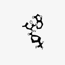 CC(C)CC(NC(=O)c1ccc(C(F)(F)F)cc1)C(=O)N1CCCC2OCC(=O)C21